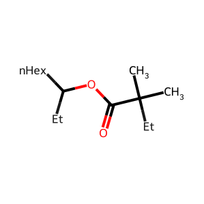 CCCCCCC(CC)OC(=O)C(C)(C)CC